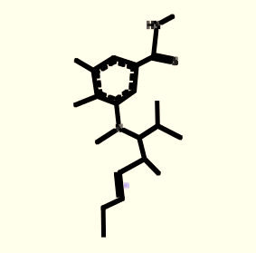 CC/C=C/C(C)C(C(C)C)N(C)c1cc(C(=S)NC)cc(C)c1C